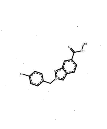 O=C(NO)c1ccc2cn(Cc3ccc(Cl)cc3)nc2c1